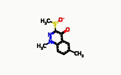 Cc1ccc2c(c1)c(=O)c([S+](C)[O-])nn2C